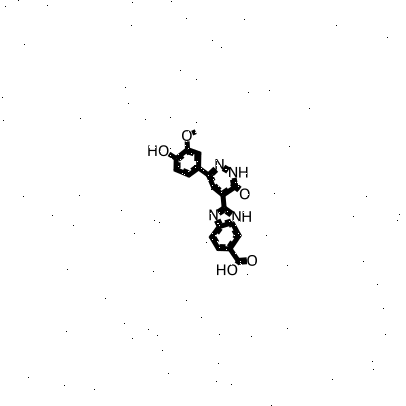 COc1cc(-c2cc(-c3nc4ccc(C(=O)O)cc4[nH]3)c(=O)[nH]n2)ccc1O